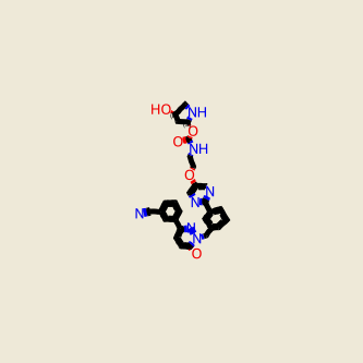 N#Cc1cccc(-c2ccc(=O)n(Cc3cccc(-c4ncc(OCCNC(=O)O[C@H]5C[C@@H](O)CN5)cn4)c3)n2)c1